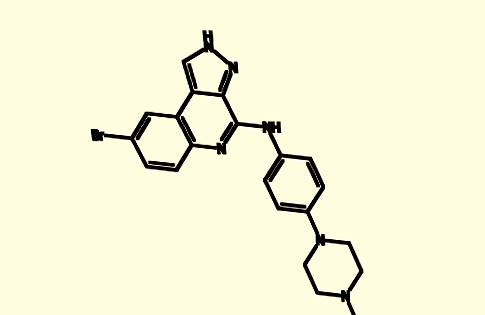 CN1CCN(c2ccc(Nc3nc4ccc(Br)cc4c4c[nH]nc34)cc2)CC1